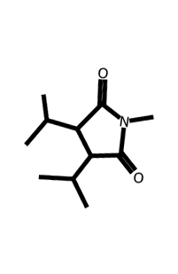 CC(C)C1C(=O)N(C)C(=O)C1C(C)C